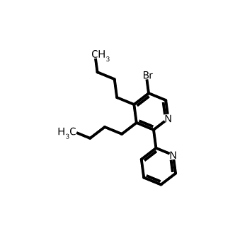 CCCCc1c(Br)cnc(-c2ccccn2)c1CCCC